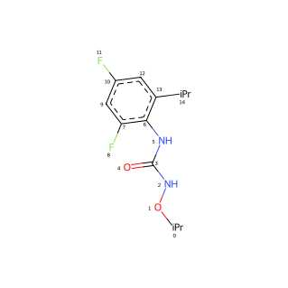 CC(C)ONC(=O)Nc1c(F)cc(F)cc1C(C)C